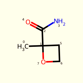 CC1(C(N)=O)CCO1